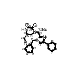 CC(C)(C)[C@H](c1nc(-c2ccccc2)cn1Cc1ccccc1)N1C[C@@H](CN)NC(=O)C1=O